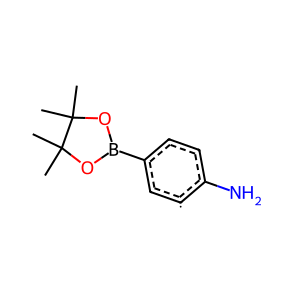 CC1(C)OB(c2c[c]c(N)cc2)OC1(C)C